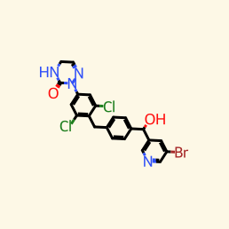 O=C1NCC=NN1c1cc(Cl)c(Cc2ccc(C(O)c3cncc(Br)c3)cc2)c(Cl)c1